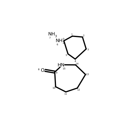 C1CCCCC1.N.N.O=C1CCCCCN1